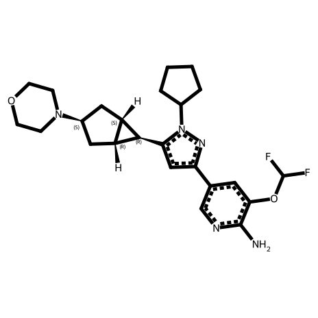 Nc1ncc(-c2cc([C@H]3[C@@H]4C[C@@H](N5CCOCC5)C[C@@H]43)n(C3CCCC3)n2)cc1OC(F)F